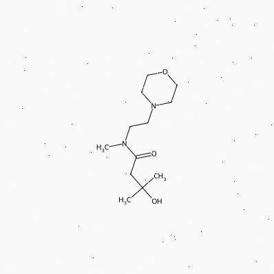 CN(CCN1CCOCC1)C(=O)CC(C)(C)O